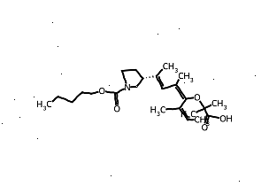 C\C=C(C)/C(OC(C)(C)C(=O)O)=C(C)\C=C(/C)[C@H]1CCN(C(=O)OCCCCC)C1